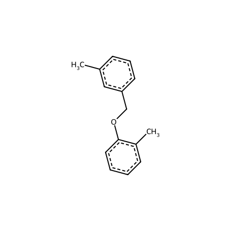 Cc1cccc(COc2ccccc2C)c1